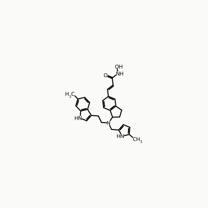 Cc1ccc2c(CCN(Cc3ccc(C)[nH]3)C3CCc4cc(/C=C/C(=O)NO)ccc43)c[nH]c2c1